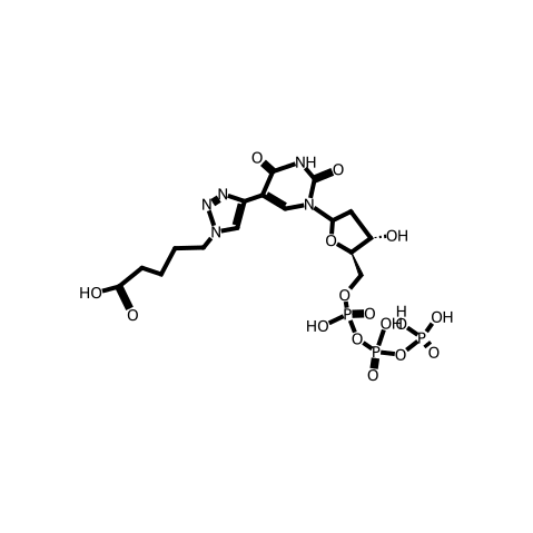 O=C(O)CCCCn1cc(-c2cn(C3C[C@H](O)[C@@H](COP(=O)(O)OP(=O)(O)OP(=O)(O)O)O3)c(=O)[nH]c2=O)nn1